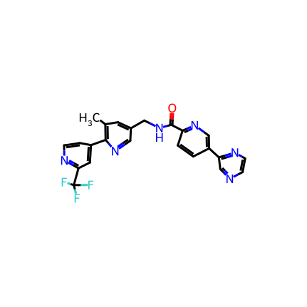 Cc1cc(CNC(=O)c2ccc(-c3cnccn3)cn2)cnc1-c1ccnc(C(F)(F)F)c1